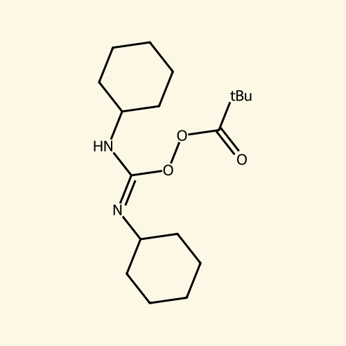 CC(C)(C)C(=O)OOC(=NC1CCCCC1)NC1CCCCC1